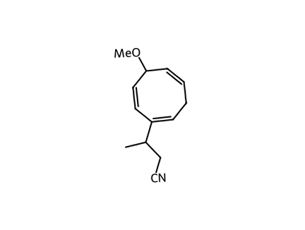 COC1C=CC/C=C(C(C)CC#N)\C=C/1